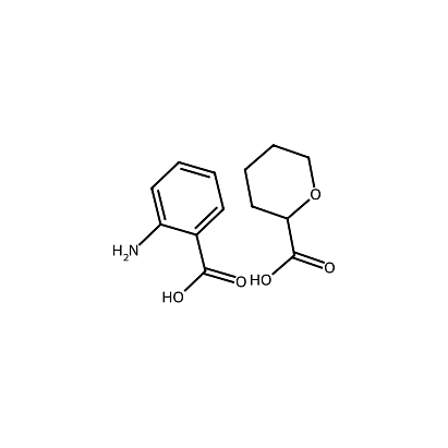 Nc1ccccc1C(=O)O.O=C(O)C1CCCCO1